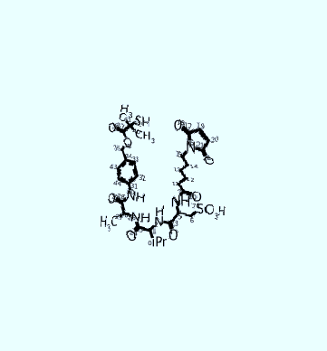 CC(C)C(NC(=O)[C@H](CS(=O)(=O)O)NC(=O)CCCCCN1C(=O)C=CC1=O)C(=O)N[C@@H](C)C(=O)Nc1ccc(COC(=O)C(C)(C)S)cc1